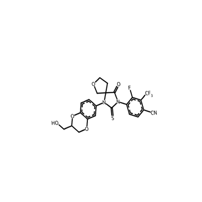 N#Cc1ccc(N2C(=O)C3(CCOC3)N(c3ccc4c(c3)OCC(CO)O4)C2=S)c(F)c1C(F)(F)F